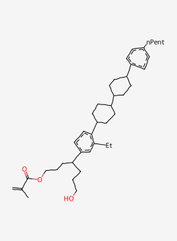 C=C(C)C(=O)OCCCC(CCCO)c1ccc(C2CCC(C3CCC(c4ccc(CCCCC)cc4)CC3)CC2)c(CC)c1